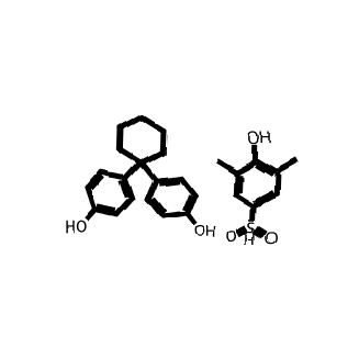 Cc1cc([SH](=O)=O)cc(C)c1O.Oc1ccc(C2(c3ccc(O)cc3)CCCCC2)cc1